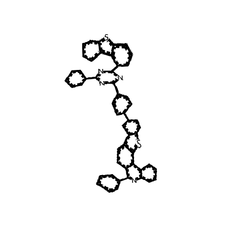 c1ccc(-c2nc(-c3ccc(-c4ccc5sc6c(ccc7c(-c8ccccc8)nc8ccccc8c76)c5c4)cc3)nc(-c3cccc4sc5ccccc5c34)n2)cc1